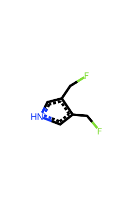 FCc1c[nH]cc1CF